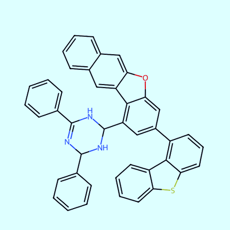 c1ccc(C2=NC(c3ccccc3)NC(c3cc(-c4cccc5sc6ccccc6c45)cc4oc5cc6ccccc6cc5c34)N2)cc1